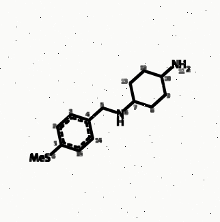 CSc1ccc(CNC2CCC(N)CC2)cc1